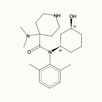 Cc1cccc(C)c1N(C(=O)C1(N(C)C)CCNCC1)[C@@H]1CCC[C@H](O)C1